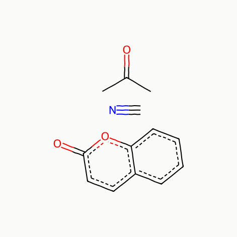 C#N.CC(C)=O.O=c1ccc2ccccc2o1